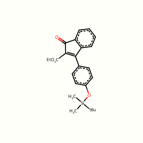 CCOC(=O)C1=C(c2ccc(O[Si](C)(C)C(C)(C)C)cc2)c2ccccc2C1=O